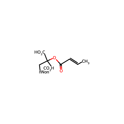 CC=CC(=O)OC(CCCCCCCCCC)(C(=O)O)C(=O)O